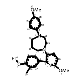 CCOc1ccc(-c2nc(OC)ccc2N2CCCN(c3ccc(OC)cc3)CC2)cc1C